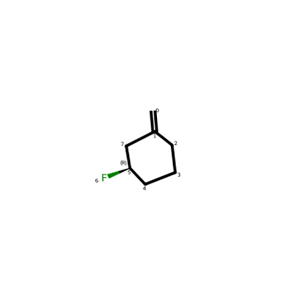 C=C1CCC[C@@H](F)C1